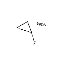 FC1CC1.[NaH]